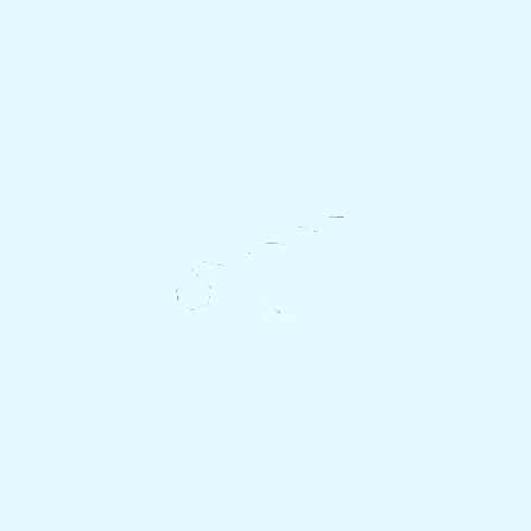 CCCCCCCCCCC[N+]1(C)CCCCC1.CS(=O)(=O)[O-]